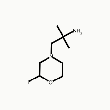 CC(C)(N)CN1CCOC(I)C1